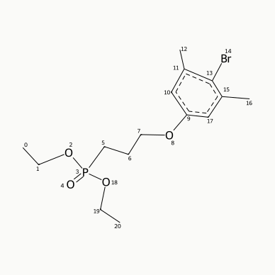 CCOP(=O)(CCCOc1cc(C)c(Br)c(C)c1)OCC